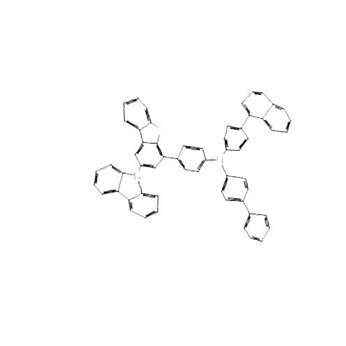 c1ccc(-c2ccc(N(c3ccc(-c4cccc5ccccc45)cc3)c3ccc(-c4cc(-n5c6ccccc6c6ccccc65)cc5c4sc4ccccc45)cc3)cc2)cc1